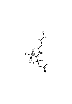 C=C(C)CC(C)(C)C(NCCCCC)S(=O)(=O)O